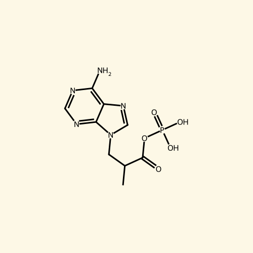 CC(Cn1cnc2c(N)ncnc21)C(=O)OP(=O)(O)O